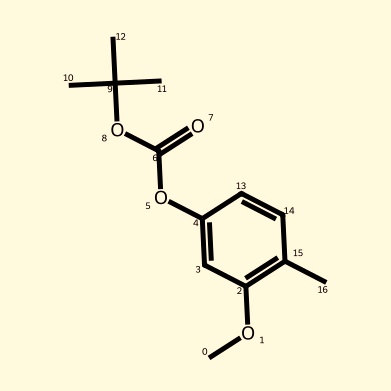 COc1cc(OC(=O)OC(C)(C)C)ccc1C